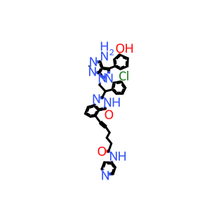 Nc1ncnc2c1c(-c1cccc(O)c1)nn2CC(c1cccc(Cl)c1)c1nc2cccc(C#CCCCC(=O)Nc3ccncc3)c2c(=O)[nH]1